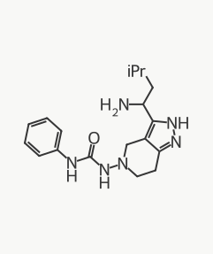 CC(C)CC(N)c1[nH]nc2c1CN(NC(=O)Nc1ccccc1)CC2